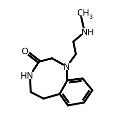 CNCCN1CC(=O)NCCc2ccccc21